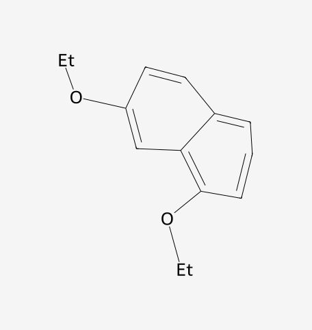 CCOc1ccc2cccc(OCC)c2c1